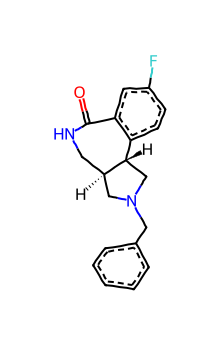 O=C1NC[C@@H]2CN(Cc3ccccc3)C[C@H]2c2ccc(F)cc21